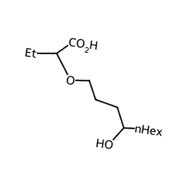 CCCCCCC(O)CCCOC(CC)C(=O)O